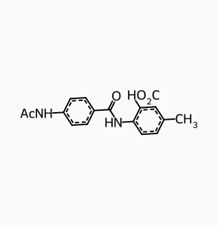 CC(=O)Nc1ccc(C(=O)Nc2ccc(C)cc2C(=O)O)cc1